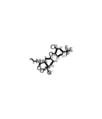 CCNC(=O)c1cc(Oc2ccc(C(F)(F)F)cc2Cl)ccc1[N+](=O)[O-]